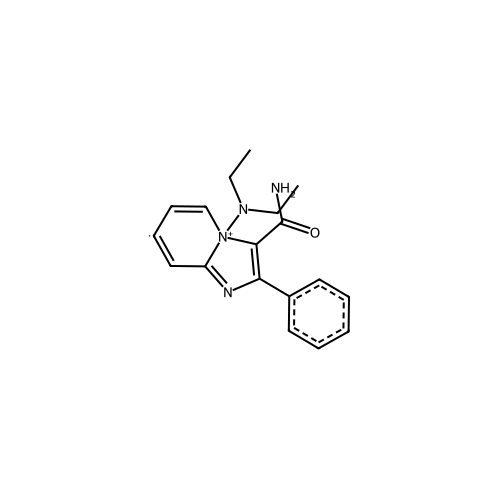 CCN(CC)[N+]12C=C[C]=CC1=NC(c1ccccc1)=C2C(N)=O